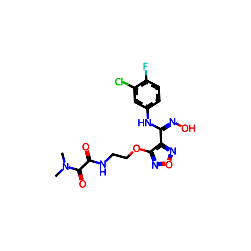 CN(C)C(=O)C(=O)NCCOc1nonc1/C(=N\O)Nc1ccc(F)c(Cl)c1